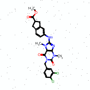 COC(=O)C1Cc2ccc(NC3=NC4C(C(=O)N(Cc5ccc(Cl)c(Cl)c5)C(=O)N4C)N3C)cc2C1